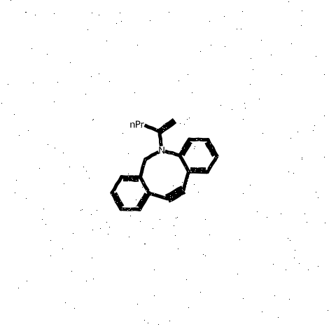 C=C(CCC)N1Cc2ccccc2C#Cc2ccccc21